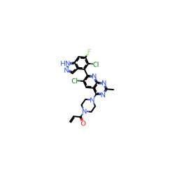 C=CC(=O)N1CCN(c2nc(C)nc3nc(-c4c(Cl)c(F)cc5[nH]ncc45)c(Cl)cc23)CC1